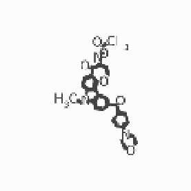 CCn1c2ccc(C(=O)c3ccc(N4CCOCC4)cc3)cc2c2c3c(ccc21)C(=O)/C(=N/OC(C)=O)CCO3